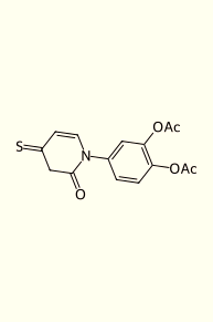 CC(=O)Oc1ccc(N2C=CC(=S)CC2=O)cc1OC(C)=O